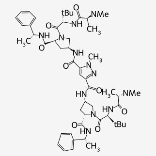 CN[C@@H](C)C(=O)N[C@H](C(=O)N1C[C@@H](NC(=O)c2cc(C(=O)N[C@H]3C[C@@H](C(=O)N[C@H](C)c4ccccc4)N(C(=O)[C@@H](NC(=O)[C@H](C)NC)C(C)(C)C)C3)n(C)n2)C[C@H]1C(=O)N[C@H](C)c1ccccc1)C(C)(C)C